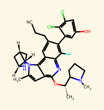 Cc1cc2c(O[C@@H](C)C3CCCN3C)nc3c(F)c(-c4cc(O)cc(Cl)c4Cl)c(CCC#N)cc3c2n1[C@H]1[C@H]2CN[C@@H]1C2